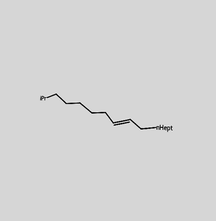 CCCCCCCCC=CCCCCCC(C)C